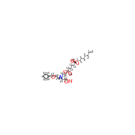 CCCCCCCCOC(=O)CCCCC(=O)OCCN(CCO)CCOCc1ccccc1